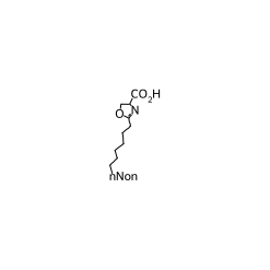 CCCCCCCCCCCCCCCC1=NC(C(=O)O)CO1